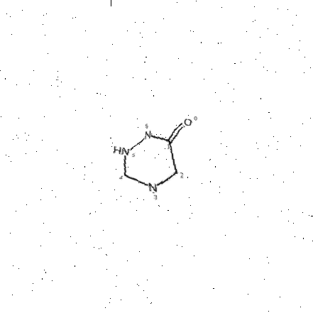 O=C1C[N]CN[N]1